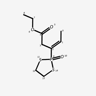 C/C=C(\CC(=O)OCC)P1(=O)SCCS1